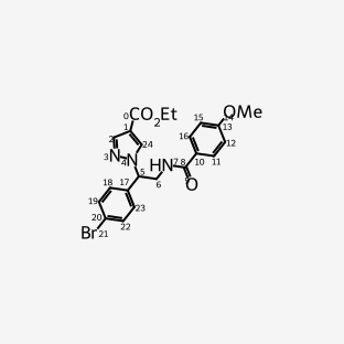 CCOC(=O)c1cnn(C(CNC(=O)c2ccc(OC)cc2)c2ccc(Br)cc2)c1